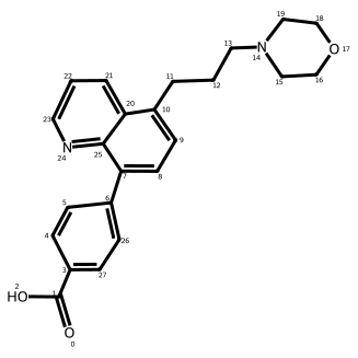 O=C(O)c1ccc(-c2ccc(CCCN3CCOCC3)c3cccnc23)cc1